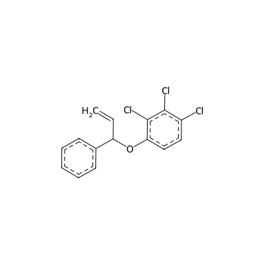 C=CC(Oc1ccc(Cl)c(Cl)c1Cl)c1ccccc1